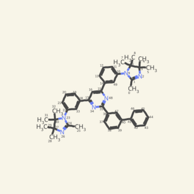 CC1=NC(C)(C)C(C)(C)N1c1cccc(-c2cc(-c3cccc(N4C(C)=NC(C)(C)C4(C)C)c3)nc(-c3cccc(-c4ccccc4)c3)n2)c1